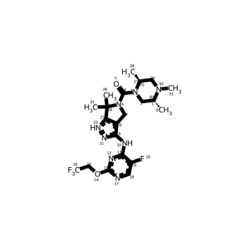 C[C@@H]1CN(C(=O)N2Cc3c(Nc4nc(OCC(F)(F)F)ncc4F)n[nH]c3C2(C)C)[C@@H](C)CN1C